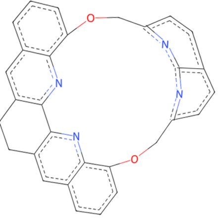 c1cc2c3nc4c(cc3c1)CCc1cc3cccc(c3nc1-4)OCc1ccc3ccc(nc3n1)CO2